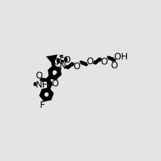 CNC(=O)c1c(-c2ccc(F)cc2)oc2cc(N(CCOCCOCCOCC(=O)O)S(C)(=O)=O)c(C3CC3)cc12